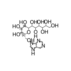 OCC(O)C(O)C(O)C(O)C(O)C1O[C@H](CO)[C@@H](O)[C@H](O)[C@H]1O.c1ncc2[nH]cnc2n1